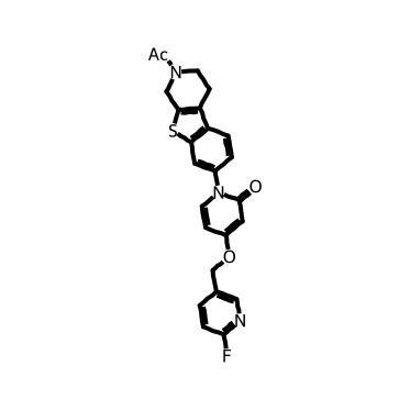 CC(=O)N1CCc2c(sc3cc(-n4ccc(OCc5ccc(F)nc5)cc4=O)ccc23)C1